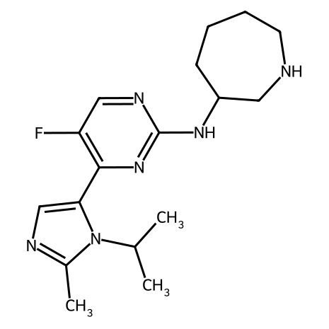 Cc1ncc(-c2nc(NC3CCCCNC3)ncc2F)n1C(C)C